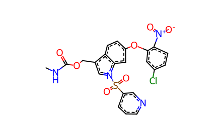 CNC(=O)OCc1cn(S(=O)(=O)c2cccnc2)c2cc(Oc3cc(Cl)ccc3[N+](=O)[O-])ccc12